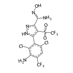 NC(=NO)c1n[nH]c(-c2c(Cl)cc(C(F)(F)F)c(N)c2Cl)c1S(=O)(=O)C(F)(F)F